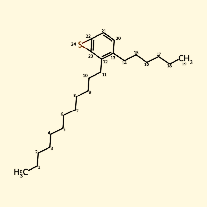 CCCCCCCCCCCCc1c(CCCCCC)ccc2c1S2